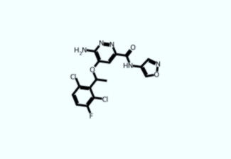 CC(Oc1cc(C(=O)Nc2cnoc2)nnc1N)c1c(Cl)ccc(F)c1Cl